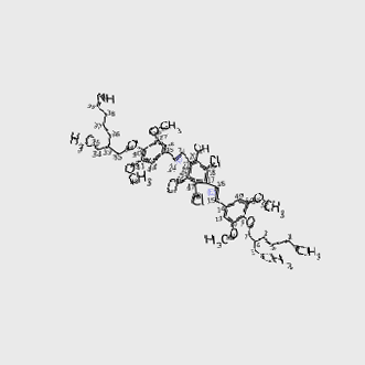 CCCCC(CC)COc1c(OC)cc(/C=C/c2c(Cl)c(O)c(/C=C/c3cc(OC)c(OCC(CC)CCCC=N)c(OC)c3)c(Cl)c2Cl)cc1OC